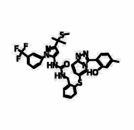 CSC(C)(C)c1cc(NC(=O)NCc2ccccc2Sc2ccc3nnc(-c4ccc(C)cc4O)n3c2)n(-c2cccc(C(F)(F)F)c2)n1